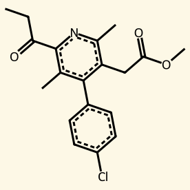 CCC(=O)c1nc(C)c(CC(=O)OC)c(-c2ccc(Cl)cc2)c1C